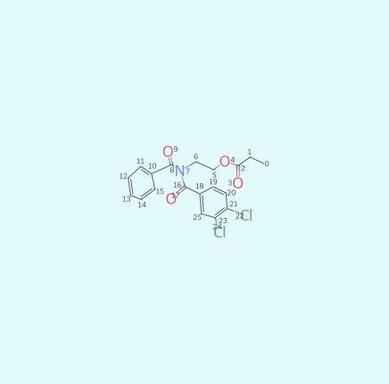 CCC(=O)OCCN(C(=O)c1ccccc1)C(=O)c1ccc(Cl)c(Cl)c1